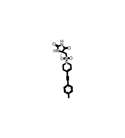 Cc1ccc(C#CC2=CCN(S(=O)(=O)C[C@@]3(C)NC(=O)NC3=O)CC2)cc1